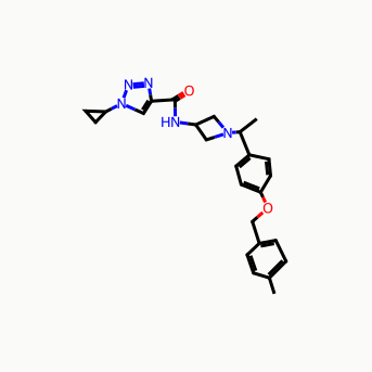 Cc1ccc(COc2ccc(C(C)N3CC(NC(=O)c4cn(C5CC5)nn4)C3)cc2)cc1